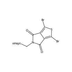 CCCCCCCCN1C(=O)c2c(Br)sc(Br)c2C1=O